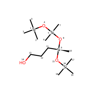 C[Si](C)(C)O[Si](C)(C)O[Si@@](C)(CCCO)O[Si](C)(C)C